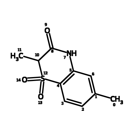 Cc1ccc2c(c1)NC(=O)C(C)S2(=O)=O